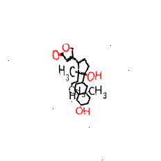 CCC[C@]1(C)C(C2=CC(=O)OC2)CCC1(O)C1CC[C@@H]2C[C@@H](O)CC[C@]2(C)C1